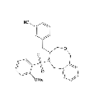 COc1ccccc1S(=O)(=O)N1Cc2ccccc2COCC1Cc1cccc(C#N)c1